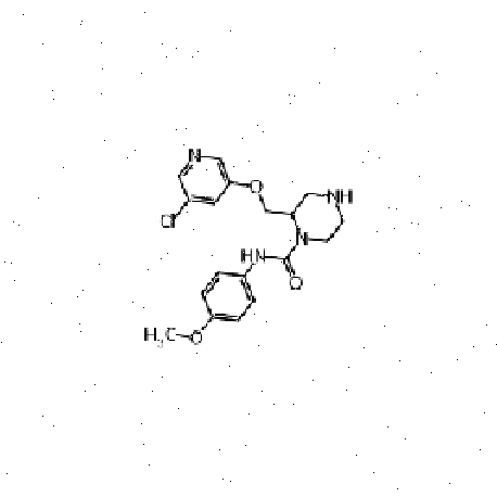 COc1ccc(NC(=O)N2CCNCC2COc2cncc(Cl)c2)cc1